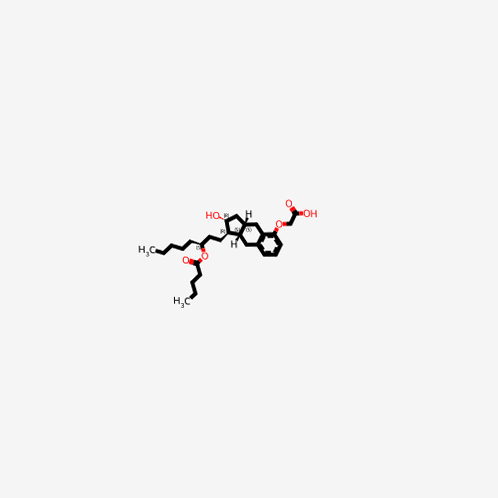 CCCCC[C@@H](CC[C@@H]1[C@H]2Cc3cccc(OCC(=O)O)c3C[C@H]2C[C@H]1O)OC(=O)CCCC